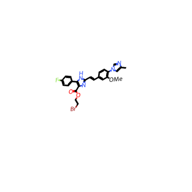 COc1cc(C=Cc2nc(C(=O)OCCBr)c(-c3ccc(F)cc3)[nH]2)ccc1-n1cnc(C)c1